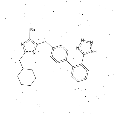 CCC(C)c1nc(CC2CCCCC2)nn1Cc1ccc(-c2ccccc2-c2nnn[nH]2)cc1